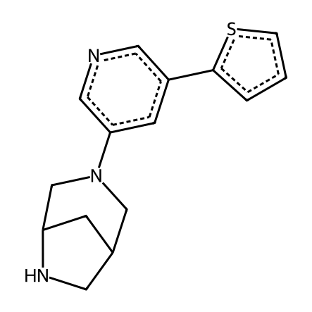 c1csc(-c2cncc(N3CC4CNC(C4)C3)c2)c1